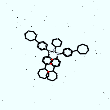 c1cc(P(c2ccc(C3CCCCCC3)cc2)N(C2CCCCC2)P(c2ccc(C3CCCCCC3)cc2)c2ccc(C3CCCCCC3)cc2)ccc1C1CCCCCC1